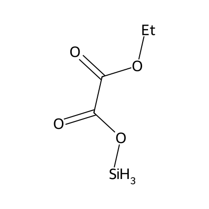 CCOC(=O)C(=O)O[SiH3]